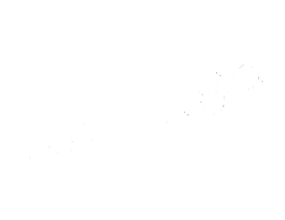 Cc1ccc(S(=O)(=O)OCCOC2CC3(C2)CN(c2ccc4c5cnccc5n(C)c4n2)C3)cc1